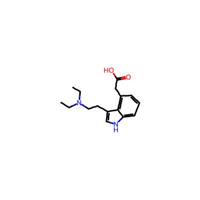 CCN(CC)CCc1c[nH]c2cccc(CC(=O)O)c12